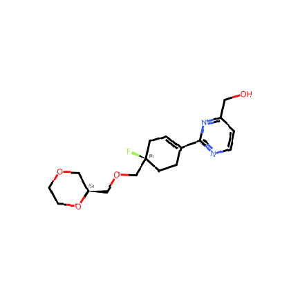 OCc1ccnc(C2=CC[C@@](F)(COC[C@@H]3COCCO3)CC2)n1